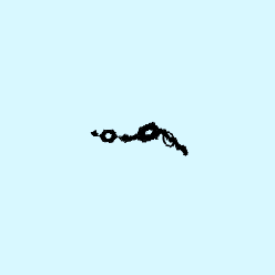 C=CCCOCc1ccc(CC[C@H]2CC[C@H](C=C)CC2)cc1